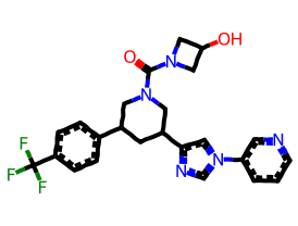 O=C(N1CC(O)C1)N1CC(c2ccc(C(F)(F)F)cc2)CC(c2cn(-c3cccnc3)cn2)C1